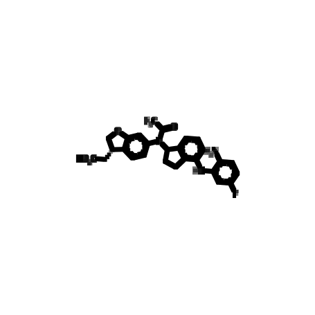 Nc1ccc(F)cc1Nc1cccc2c1CCC2N(C(=O)C(F)(F)F)c1ccc2c(c1)OC[C@H]2CC(=O)O